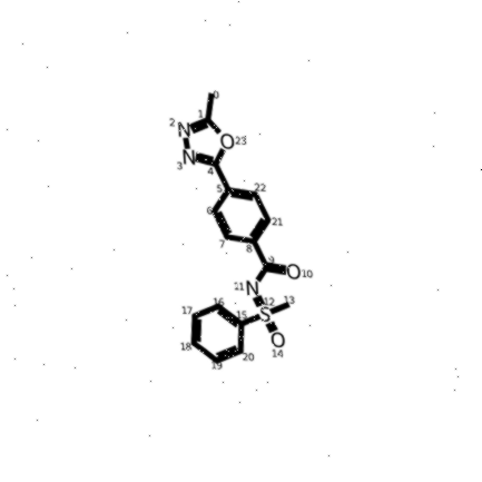 Cc1nnc(-c2ccc(C(=O)N=S(C)(=O)c3ccccc3)cc2)o1